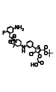 CC(C)(C)OC(=O)c1sc(-c2cccc(N[C@@H]3CCN(S(=O)(=O)Cc4cc(N)ccc4F)C(C)(C)C3)c2)c(Cl)c1OCC(=O)O